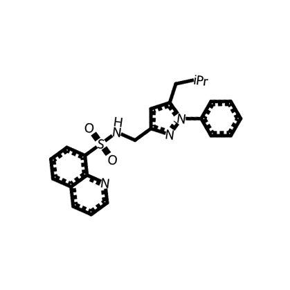 CC(C)Cc1cc(CNS(=O)(=O)c2cccc3cccnc23)nn1-c1ccccc1